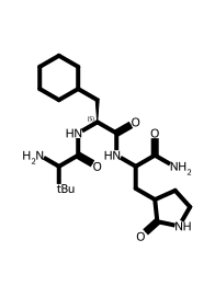 CC(C)(C)C(N)C(=O)N[C@@H](CC1CCCCC1)C(=O)NC(CC1CCNC1=O)C(N)=O